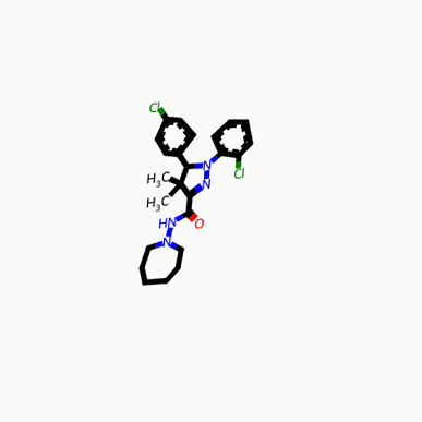 CC1(C)C(C(=O)NN2CCCCCC2)=NN(c2ccccc2Cl)C1c1ccc(Cl)cc1